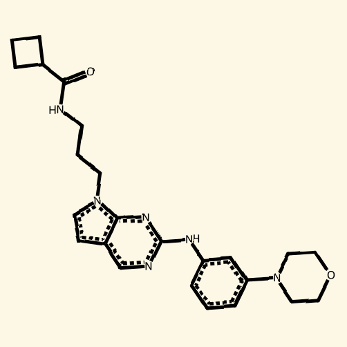 O=C(NCCCn1ccc2cnc(Nc3cccc(N4CCOCC4)c3)nc21)C1CCC1